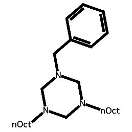 CCCCCCCCN1CN(CCCCCCCC)CN(Cc2ccccc2)C1